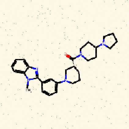 Cn1c(-c2cccc(N3CCC[C@@H](C(=O)N4CCC(N5CCCC5)CC4)C3)c2)nc2ccccc21